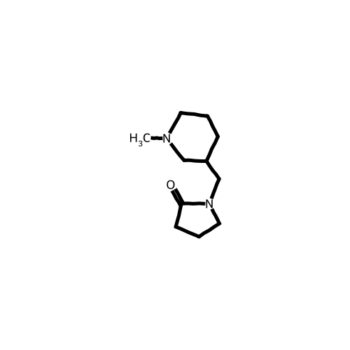 CN1CCCC(CN2CCCC2=O)C1